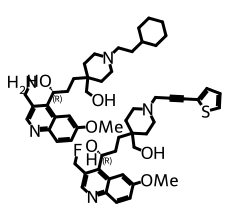 COc1ccc2ncc(CF)c([C@H](O)CCC3(CO)CCN(CC#Cc4cccs4)CC3)c2c1.COc1ccc2ncc(CN)c([C@H](O)CCC3(CO)CCN(CCC4CCCCC4)CC3)c2c1